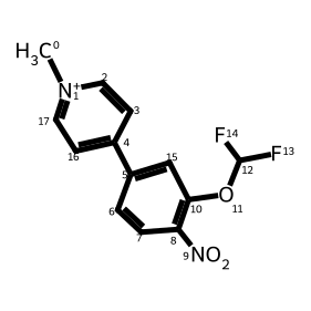 C[n+]1ccc(-c2ccc([N+](=O)[O-])c(OC(F)F)c2)cc1